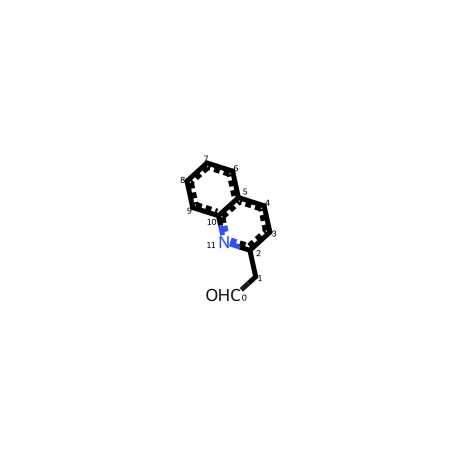 O=CCc1ccc2ccccc2n1